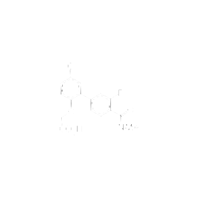 CNC(=O)c1ccc(-c2cc(Cl)ccc2OCC(=O)O)cc1F